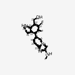 CNc1cn2cc(-c3c(C)c(F)c(CO)c4[nH]ncc34)ccc2n1